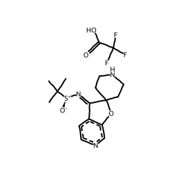 CC(C)(C)[S@+]([O-])N=C1c2ccncc2OC12CCNCC2.O=C(O)C(F)(F)F